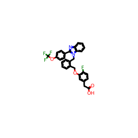 O=C(O)Cc1ccc(F)c(OCc2ccccc2Cn2c(-c3ccc(OC(F)(F)F)cc3)nc3ccccc32)c1